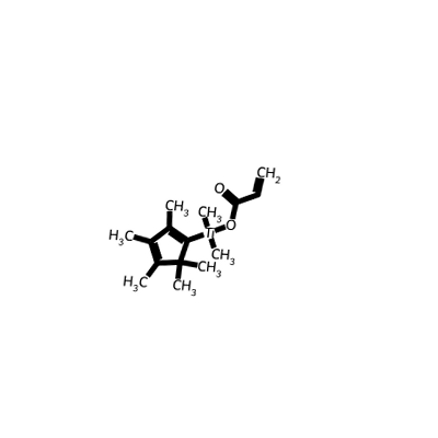 C=CC(=O)[O][Ti]([CH3])([CH3])[C]1=C(C)C(C)=C(C)C1(C)C